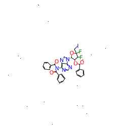 O=C(O[C@H]1[C@H](n2cnc3c(N(C(=O)c4ccccc4)C(=O)c4ccccc4)ncnc32)O[C@](F)(CI)[C@H]1F)c1ccccc1